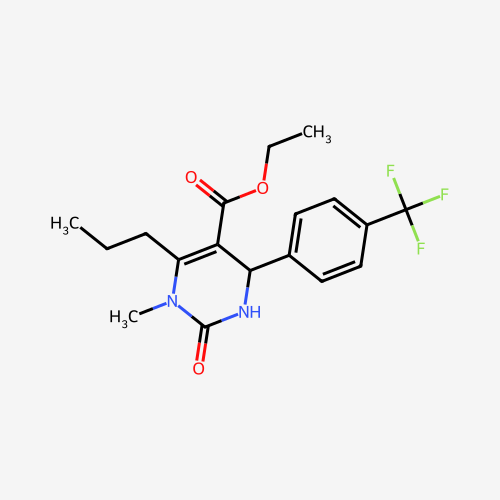 CCCC1=C(C(=O)OCC)C(c2ccc(C(F)(F)F)cc2)NC(=O)N1C